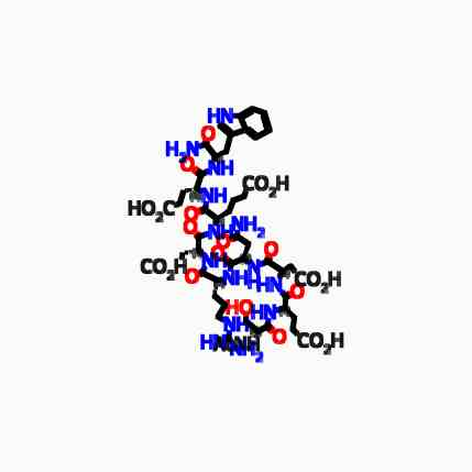 CC(=O)N[C@H](CO)C(=O)N[C@H](CCC(=O)O)C(=O)N[C@H](CC(=O)O)C(=O)N[C@H](CC(N)=O)C(=O)N[C@H](CCCNC(=N)N)C(=O)N[C@H](CC(=O)O)C(=O)N[C@H](CCCC(=O)O)C(=O)N[C@H](CCC(=O)O)C(=O)N[C@H](Cc1c[nH]c2ccccc12)C(N)=O